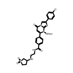 CCCCCn1c(-c2ccc(C(=O)NCCNC3CCS(=O)(=O)C3)cc2)cc(=O)n2cc(-c3ccc(Cl)cc3)nc12